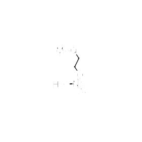 COCCON(C)C(C)=O